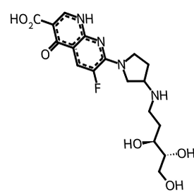 O=C(O)c1c[nH]c2nc(N3CCC(NCC[C@H](O)[C@H](O)CO)C3)c(F)cc2c1=O